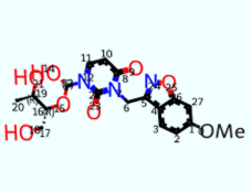 COc1ccc2c(Cn3c(=O)ccn([C@@H](O)O[C@H](CO)[C@@H](C)O)c3=O)noc2c1